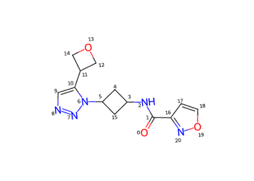 O=C(NC1CC(n2nncc2C2COC2)C1)c1ccon1